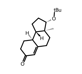 CC(C)(C)O[C@H]1CC[C@H]2[C@@H]3CCC(=O)C=C3CC[C@]12C